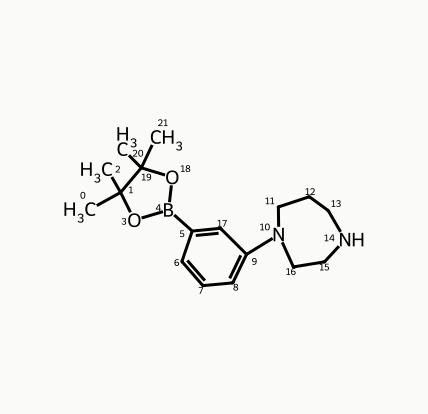 CC1(C)OB(c2cccc(N3CCCNCC3)c2)OC1(C)C